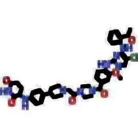 COc1cc(C(=O)N2CCN(C(=O)CN3CCC(c4ccc(NC5CCC(=O)NC5=O)cc4)CC3)CC2)ccc1Nc1ncc(Cl)c(Nc2ccccc2C(C)=O)n1